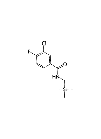 C[Si](C)(C)CNC(=O)c1ccc(F)c(Cl)c1